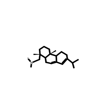 CC(C)C1=CC2=CCC3[C@](C)(CN(C)I)CCC[C@]3(C)C2CC1